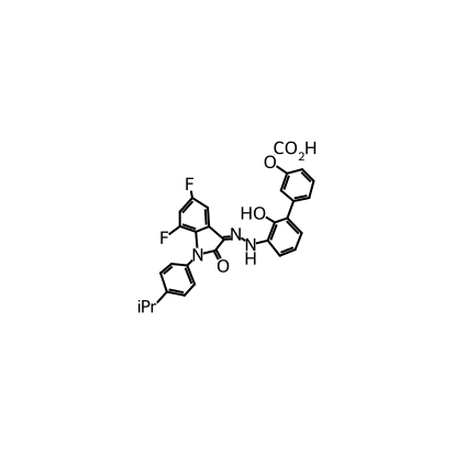 CC(C)c1ccc(N2C(=O)C(=NNc3cccc(-c4cccc(OC(=O)O)c4)c3O)c3cc(F)cc(F)c32)cc1